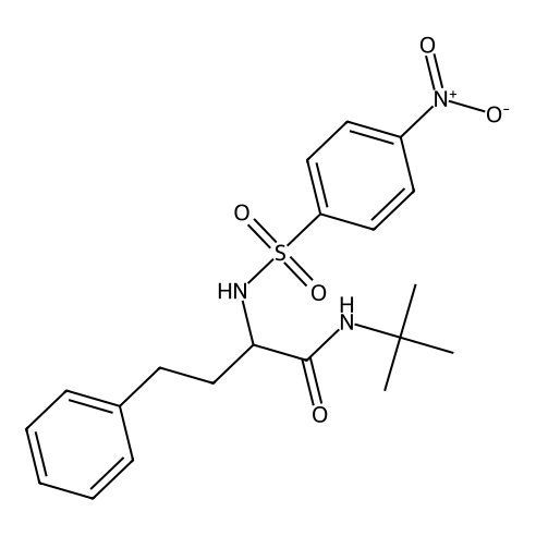 CC(C)(C)NC(=O)C(CCc1ccccc1)NS(=O)(=O)c1ccc([N+](=O)[O-])cc1